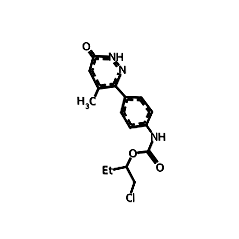 CCC(CCl)OC(=O)Nc1ccc(-c2n[nH]c(=O)cc2C)cc1